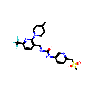 CC1CCN(c2nc(C(F)(F)F)ccc2CNC(=O)Nc2ccc(CS(C)(=O)=O)nc2)CC1